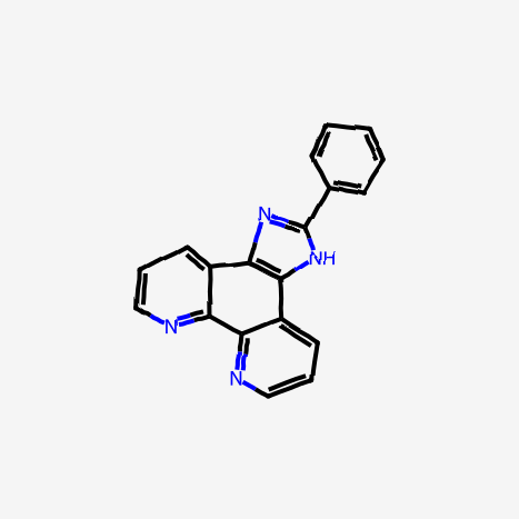 c1ccc(-c2nc3c4cccnc4c4ncccc4c3[nH]2)cc1